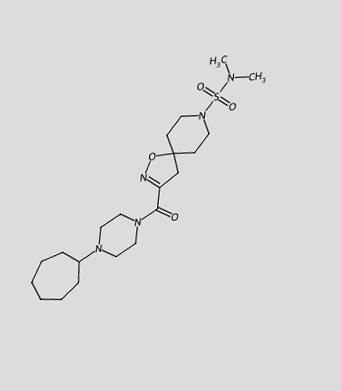 CN(C)S(=O)(=O)N1CCC2(CC1)CC(C(=O)N1CCN(C3CCCCCC3)CC1)=NO2